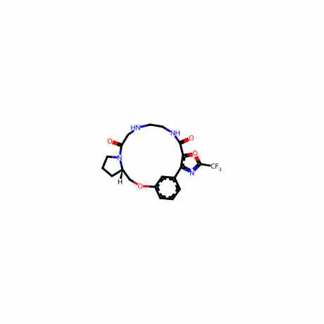 O=C1NCCNCC(=O)N2CCC[C@H]2COc2cccc(c2)-c2nc(C(F)(F)F)oc21